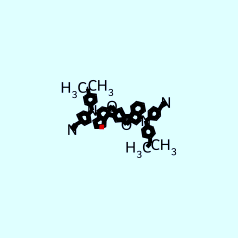 CC(C)c1ccc(N(c2ccc(C#N)cc2)c2cc3oc4cc5c(cc4c3c3ccccc23)oc2cc(N(c3ccc(C#N)cc3)c3ccc(C(C)C)cc3)c3ccccc3c25)cc1